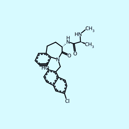 CN[C@@H](C)C(=O)N[C@H]1CCc2ccc#cc2N(Cc2c(O)ccc3cc(Cl)ccc23)C1=O